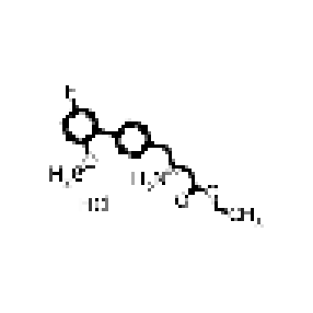 CCOC(=O)C[C@H](N)Cc1ccc(-c2cc(F)ccc2OC)cc1.Cl